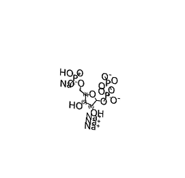 O=P([O-])([O-])OP(=O)([O-])OC1O[C@H](COP(=O)([O-])O)[C@@H](O)[C@H]1O.[Na+].[Na+].[Na+].[Na+]